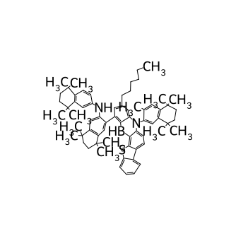 CCCCCCc1cc(-c2cc3c(cc2Nc2ccc4c(c2)C(C)(C)CCC4(C)C)C(C)(C)CCC3(C)C)c2c(c1)N(c1cc3c(cc1C)C(C)(C)CCC3(C)C)c1ccc3c(sc4ccccc43)c1B2